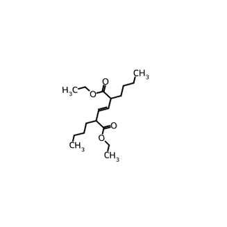 CCCCC(C=CC(CCCC)C(=O)OCC)C(=O)OCC